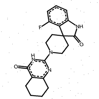 O=C1Nc2cccc(F)c2C12CCN(c1nc3c(c(=O)[nH]1)CCCC3)CC2